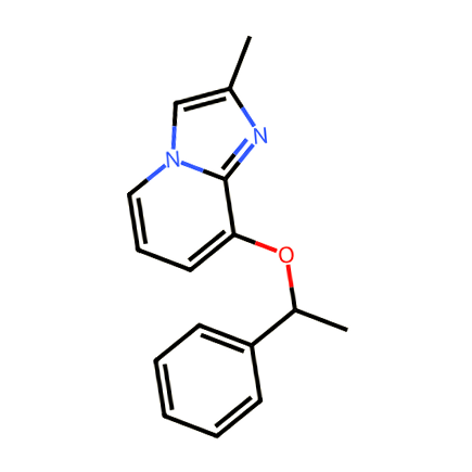 Cc1cn2cccc(OC(C)c3ccccc3)c2n1